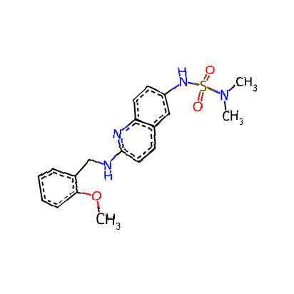 COc1ccccc1CNc1ccc2cc(NS(=O)(=O)N(C)C)ccc2n1